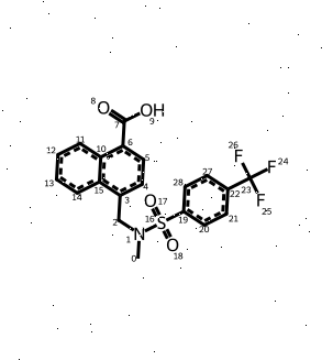 CN(Cc1ccc(C(=O)O)c2ccccc12)S(=O)(=O)c1ccc(C(F)(F)F)cc1